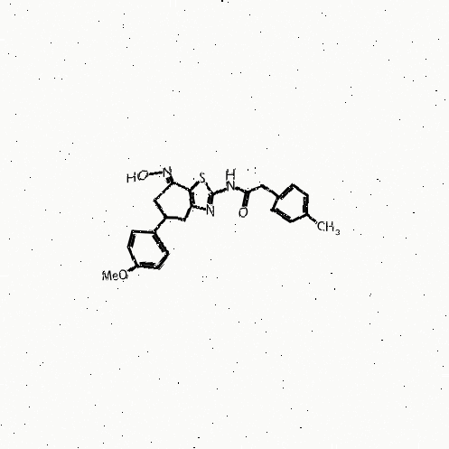 COc1ccc(C2CC(=NO)c3sc(NC(=O)Cc4ccc(C)cc4)nc3C2)cc1